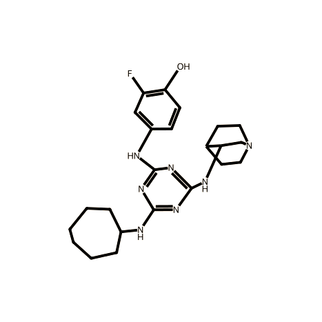 Oc1ccc(Nc2nc(NC3CCCCCC3)nc(NC3CN4CCC3CC4)n2)cc1F